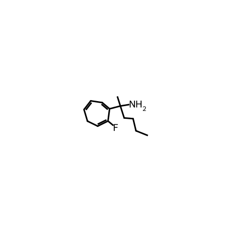 CCCCC(C)(N)C1=CC=CCC=C1F